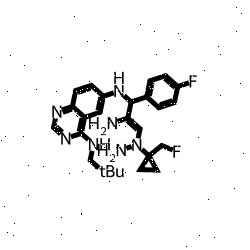 CC(C)(C)CNc1ncnc2ccc(NC(/C(N)=C/N(N)C3(CF)CC3)c3ccc(F)cc3)cc12